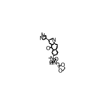 CN(c1ccc2ccc3ncc(-c4cnn(C)c4)cc3c(=O)c2c1)S(=O)(=O)NC[C@@H]1COCCO1